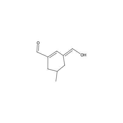 CC1CC(C=O)=C/C(=C/O)C1